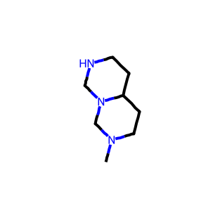 CN1CCC2CCNCN2C1